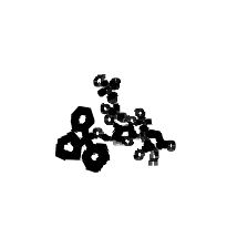 CS(=O)(=O)Cl.CS(=O)(=O)O[C@@H]1[C@H](OS(C)(=O)=O)[C@@H](COC(c2ccccc2)(c2ccccc2)c2ccccc2)O[C@H]1n1ccc(=O)[nH]c1=O